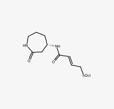 CCCCCCCCC/C=C/C(=O)N[C@H]1CCCNC(=O)C1